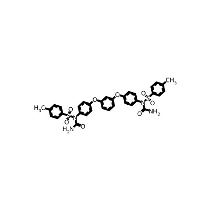 Cc1ccc(S(=O)(=O)N(C(N)=O)c2ccc(Oc3cccc(Oc4ccc(N(C(N)=O)S(=O)(=O)c5ccc(C)cc5)cc4)c3)cc2)cc1